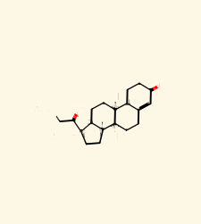 CC(=O)OCC(=O)[C@]1(OC(C)=O)CC[C@H]2[C@@H]3CCC4=CC(=O)CC[C@@H]4[C@H]3CC[C@@]21C